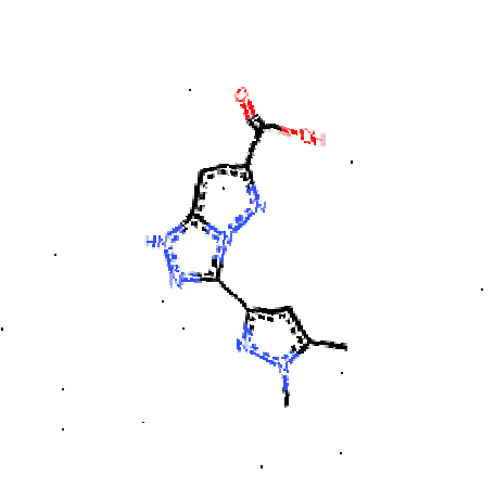 Cc1cc(-c2n[nH]c3cc(C(=O)O)nn23)nn1C